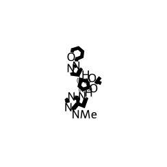 CNc1ncnc2c1ccn2[C@@H]1C[C@H](c2cnn(C3CCCCO3)c2)[C@H]2OC(C)(C)O[C@H]21